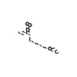 C=CC(=O)N1CCN(c2nc(NCCC(=O)N(C)CCOCCOCCOCCOc3ccc4c(c3)C(=O)N(C3CCC(=O)NC3=O)C4=O)nc3c(F)c(-c4cc(O)cc5ccccc45)c(Cl)cc23)CC1